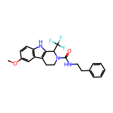 COc1ccc2[nH]c3c(c2c1)CCN(C(=O)NCCc1ccccc1)C3C(F)(F)F